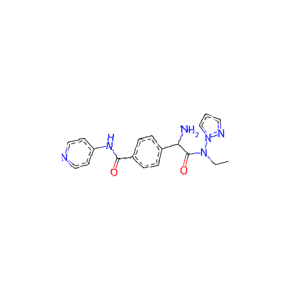 CCN(C(=O)C(N)c1ccc(C(=O)Nc2ccncc2)cc1)n1cccn1